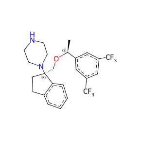 C[C@H](OC[C@@]1(N2CCNCC2)CCc2ccccc21)c1cc(C(F)(F)F)cc(C(F)(F)F)c1